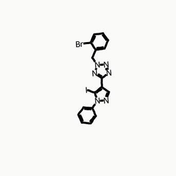 Brc1ccccc1Cn1nnc(-c2cnn(-c3ccccc3)c2I)n1